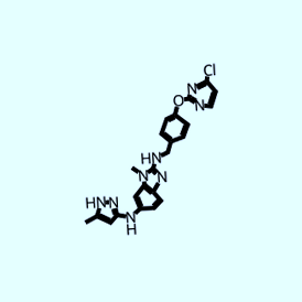 Cc1cc(Nc2ccc3nc(NCc4ccc(Oc5nccc(Cl)n5)cc4)n(C)c3c2)n[nH]1